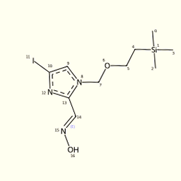 C[Si](C)(C)CCOCn1cc(I)nc1/C=N/O